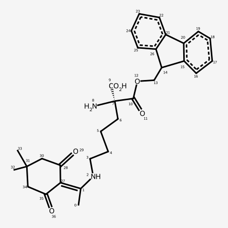 CC(NCCCC[C@](N)(C(=O)O)C(=O)OCC1c2ccccc2-c2ccccc21)=C1C(=O)CC(C)(C)CC1=O